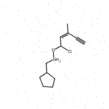 C#CC(C)=CC(Cl)O[SiH2]CC1CCCC1